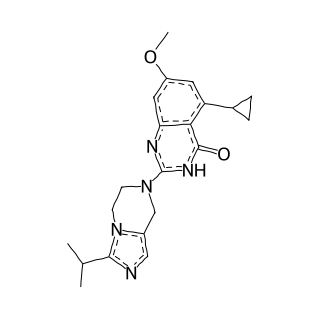 COc1cc(C2CC2)c2c(=O)[nH]c(N3CCn4c(cnc4C(C)C)C3)nc2c1